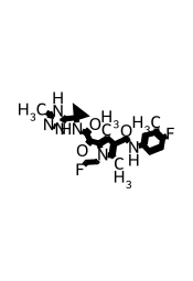 Cc1nnc(C2(NC(=O)C(=O)c3c(C)c(C(=O)Nc4ccc(F)c(C)c4)c(C)n3CCF)CC2)[nH]1